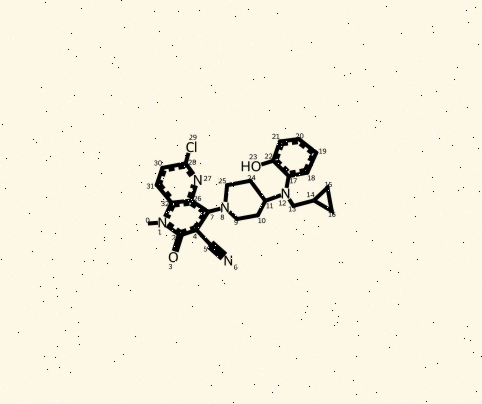 Cn1c(=O)c(C#N)c(N2CCC(N(CC3CC3)c3ccccc3O)CC2)c2nc(Cl)ccc21